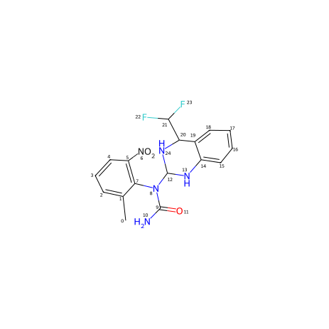 Cc1cccc([N+](=O)[O-])c1N(C(N)=O)C1Nc2ccccc2C(C(F)F)N1